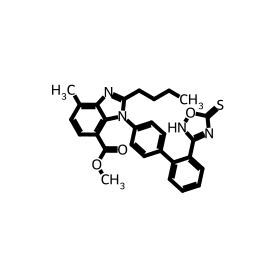 CCCCc1nc2c(C)ccc(C(=O)OC)c2n1-c1ccc(-c2ccccc2-c2nc(=S)o[nH]2)cc1